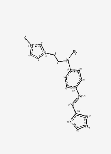 CCN(CCn1cc[n+](C)c1)c1ccc(/N=N/c2nncs2)cc1